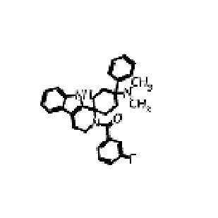 CN(C)C1(c2ccccc2)CCC2(CC1)c1[nH]c3ccccc3c1CCN2C(=O)c1cccc(F)c1